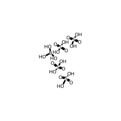 O=S(=O)(O)O.O=S(=O)(O)O.O=S(=O)(O)O.O=S(=O)(O)O.OB(O)O